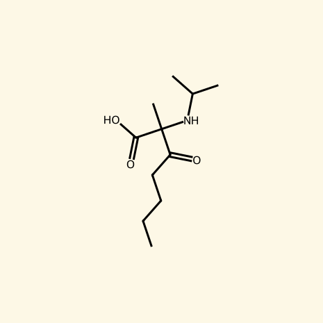 CCCCC(=O)C(C)(NC(C)C)C(=O)O